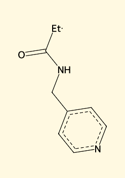 C[CH]C(=O)NCc1ccncc1